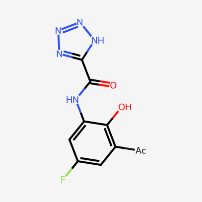 CC(=O)c1cc(F)cc(NC(=O)c2nnn[nH]2)c1O